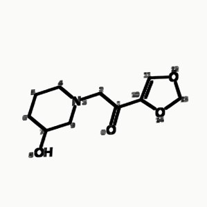 O=C(CN1CCCC(O)C1)C1=COCO1